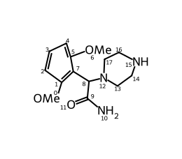 COc1cccc(OC)c1C(C(N)=O)N1CCNCC1